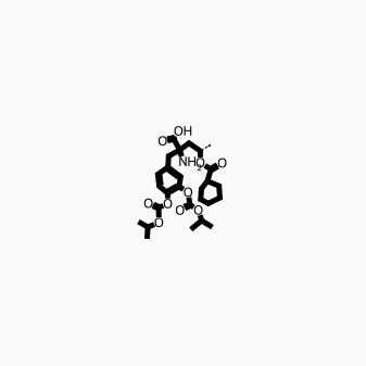 CC(C)OC(=O)Oc1ccc(CC(N)(C[C@H](C)OC(=O)C2CCCCC2)C(=O)O)cc1OC(=O)OC(C)C